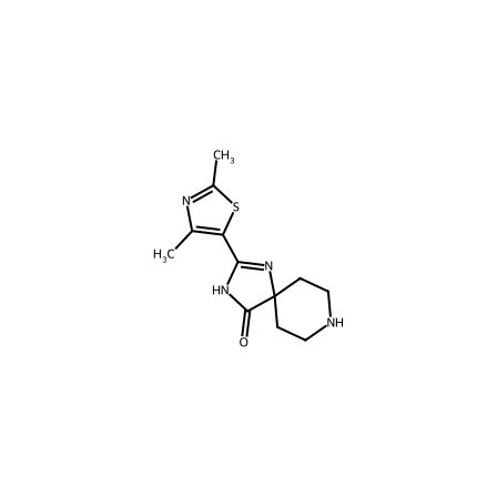 Cc1nc(C)c(C2=NC3(CCNCC3)C(=O)N2)s1